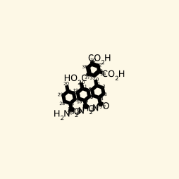 CC1CCC(C(N)=O)CC1.CC1CCC(C(N)=O)CC1.CC1CCC(C(N)=O)CC1.O=C(O)c1cc(C(=O)O)cc(C(=O)O)c1